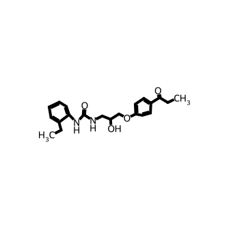 CCC(=O)c1ccc(OCC(O)CNC(=O)Nc2ccccc2CC)cc1